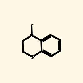 [CH2]N1CCSc2ccccc21